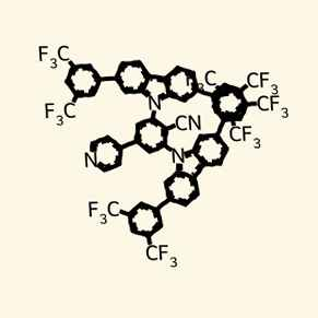 N#Cc1c(-n2c3cc(-c4cc(C(F)(F)F)cc(C(F)(F)F)c4)ccc3c3ccc(-c4cc(C(F)(F)F)cc(C(F)(F)F)c4)cc32)cc(-c2ccncc2)cc1-n1c2cc(-c3cc(C(F)(F)F)cc(C(F)(F)F)c3)ccc2c2ccc(-c3cc(C(F)(F)F)cc(C(F)(F)F)c3)cc21